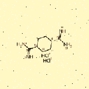 Cl.Cl.N=C(N)[C@H]1CC[C@H](C(=N)N)CC1